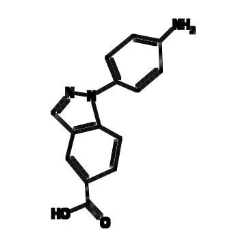 Nc1ccc(-n2ncc3cc(C(=O)O)ccc32)cc1